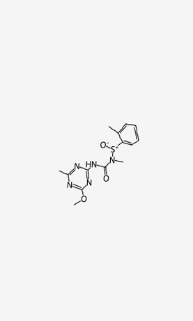 COc1nc(C)nc(NC(=O)N(C)[S+]([O-])c2ccccc2C)n1